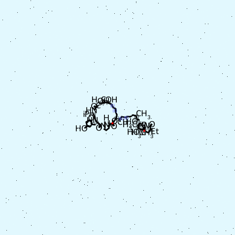 CC[C@H]1C[C@H](C)[C@@]2(NC1=O)O[C@@H](C[C@H](O)[C@@H](C)CC/C=C/C=C(\C)[C@@H]1C/C=C/C=C/[C@@H](O)C(C)[C@@H](O)CC(=O)N[C@@H](C(C)C)C(=O)N[C@@H](Cc3cccc(O)c3)C(=O)N3CCC[C@H](N3)C(=O)O1)[C@H](C)[C@H](O)[C@@H]2C